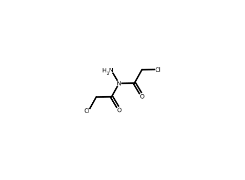 NN(C(=O)CCl)C(=O)CCl